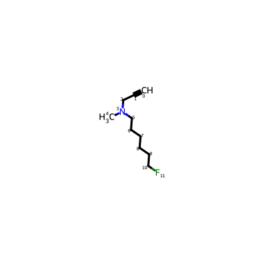 C#CCN(C)CCCCCCF